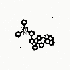 c1ccc(-c2nc(-c3ccccc3)nc(-c3cccc(-c4cccc5c4-c4ccc(-c6ccc7ccc8cccc9ccc6c7c89)cc4C5(c4ccccc4)c4ccccc4)c3)n2)cc1